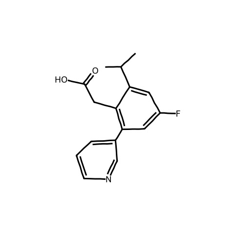 CC(C)c1cc(F)cc(-c2cccnc2)c1CC(=O)O